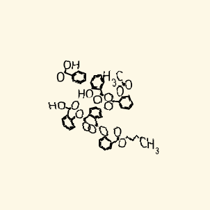 CC(=O)Oc1ccccc1C(=O)OC(=O)c1ccccc1O.CCCCOC(=O)c1ccccc1OC(=O)c1ccccc1C(=O)Oc1ccccc1C(=O)O.O=C(O)c1ccccc1